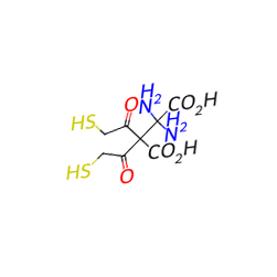 NC(N)(C(=O)O)C(C(=O)O)(C(=O)CS)C(=O)CS